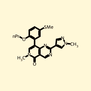 CCCOc1ccc(SC)cc1-c1cn(C)c(=O)c2cnc(-c3cnn(C)c3)nc12